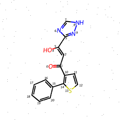 O=C(C=C(O)c1nc[nH]n1)c1ccsc1-c1ccccc1